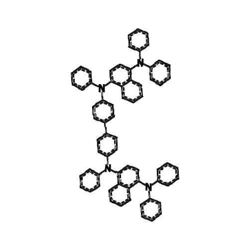 c1ccc(N(c2ccccc2)c2ccc(N(c3ccccc3)c3ccc(-c4ccc(N(c5ccccc5)c5ccc(N(c6ccccc6)c6ccccc6)c6ccccc56)cc4)cc3)c3ccccc23)cc1